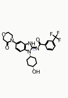 O=C(/N=c1\[nH]c2cc(N3CCOCC3=O)ccc2n1[C@H]1CC[C@@H](O)CC1)c1cccc(C(F)(F)F)c1